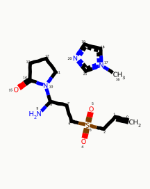 C=CCS(=O)(=O)CCC(N)N1CCCC1=O.Cn1ccnc1